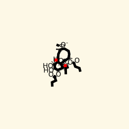 CCCC(=O)O[C@H]1[C@H](C(C)C)[C@@H]2[C@@H]([C@H]3C[C@](C)([S+](C)[O-])CCC[C@@](C)(OC(=O)CCC)[C@@H]2O3)[C@](C)(O)[C@@H]1O